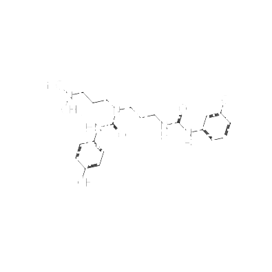 CN(C)CCCN(CCCNC(=O)Nc1cccc(Cl)c1)C(=O)Nc1ccc(C(F)(F)F)cc1